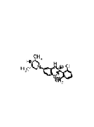 COc1ccc(N2C[C@@H](C)N[C@@H](C)C2)cc1NS(=O)(=O)c1c(Cl)cccc1Cl